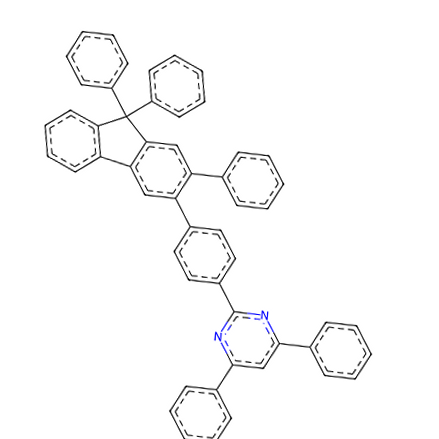 c1ccc(-c2cc(-c3ccccc3)nc(-c3ccc(-c4cc5c(cc4-c4ccccc4)C(c4ccccc4)(c4ccccc4)c4ccccc4-5)cc3)n2)cc1